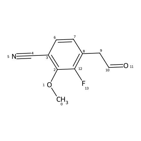 COc1c(C#N)ccc(CC=O)c1F